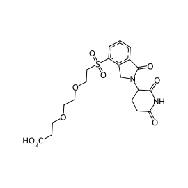 O=C(O)CCOCCOCCS(=O)(=O)c1cccc2c1CN(C1CCC(=O)NC1=O)C2=O